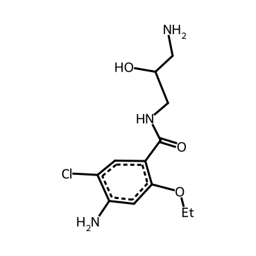 CCOc1cc(N)c(Cl)cc1C(=O)NCC(O)CN